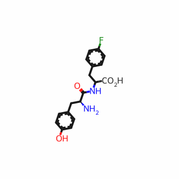 N[C@@H](Cc1ccc(O)cc1)C(=O)NC(Cc1ccc(F)cc1)C(=O)O